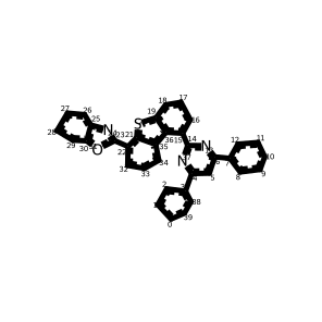 c1ccc(-c2cc(-c3ccccc3)nc(-c3cccc4sc5c(-c6nc7ccccc7o6)cccc5c34)n2)cc1